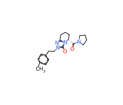 Cc1ccc(CCn2nc3n(c2=O)[C@@H](C(=O)N2CCCC2)CCC3)cc1